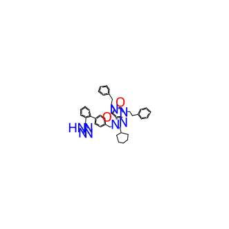 O=c1c2c(nc(C3CCCCC3)n2Cc2ccc(-c3ccccc3-c3nnn[nH]3)cc2)n(CCc2ccccc2)c(=O)n1CCc1ccccc1